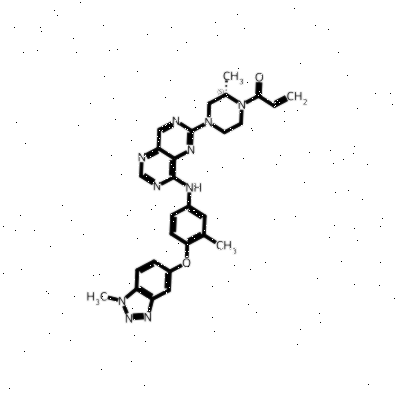 C=CC(=O)N1CCN(c2ncc3ncnc(Nc4ccc(Oc5ccc6c(c5)nnn6C)c(C)c4)c3n2)C[C@@H]1C